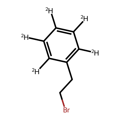 [2H]c1c([2H])c([2H])c(CCBr)c([2H])c1[2H]